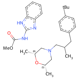 CC(Cc1ccc(C(C)(C)C)cc1)CN1C[C@@H](C)O[C@@H](C)C1.COC(=O)Nc1nc2ccccc2[nH]1